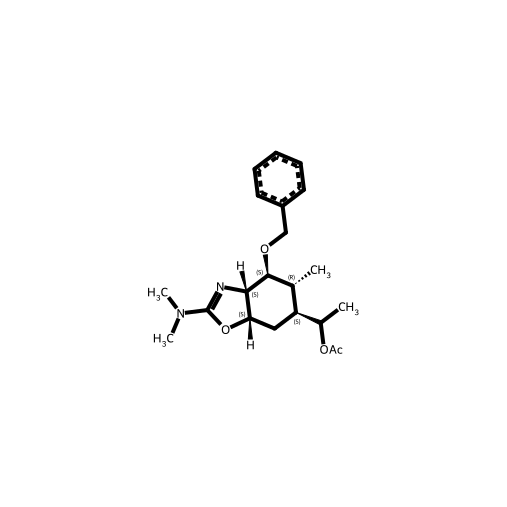 CC(=O)OC(C)[C@H]1C[C@@H]2OC(N(C)C)=N[C@@H]2[C@@H](OCc2ccccc2)[C@@H]1C